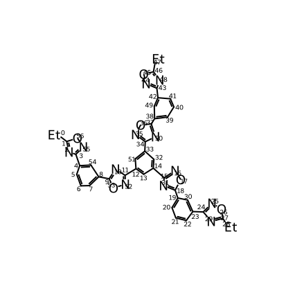 CCc1nc(-c2cccc(-c3nc(-c4cc(-c5noc(-c6cccc(-c7noc(CC)n7)c6)n5)cc(-c5noc(-c6cccc(-c7noc(CC)n7)c6)n5)c4)no3)c2)no1